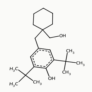 CC(C)(C)c1cc(CC2(CO)CCCCC2)cc(C(C)(C)C)c1O